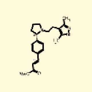 COC(=O)/C=C/c1ccc([C@@H]2CCCN2CCc2c(C)n[nH]c2C)cc1